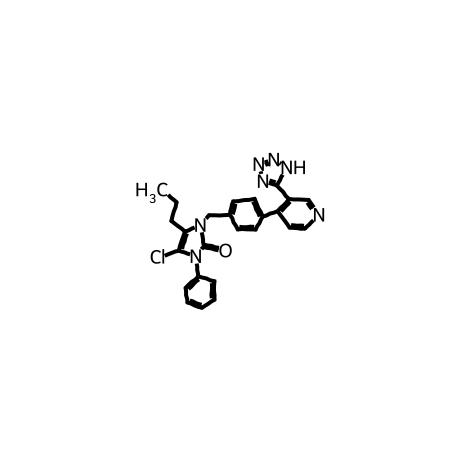 CCCc1c(Cl)n(-c2ccccc2)c(=O)n1Cc1ccc(-c2ccncc2-c2nnn[nH]2)cc1